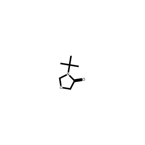 CC(C)(C)N1COCC1=O